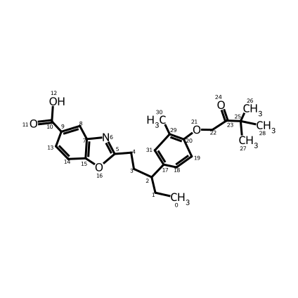 CCC(CCc1nc2cc(C(=O)O)ccc2o1)c1ccc(OCC(=O)C(C)(C)C)c(C)c1